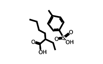 CCCCC(CC)C(=O)O.Cc1ccc(S(=O)(=O)O)cc1